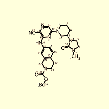 CN1CCN([C@@H]2CCCN(c3cnc(C#N)c(Nc4ccc5c(c4)CN(C(=O)OC(C)(C)C)CC5)n3)C2)C1=O